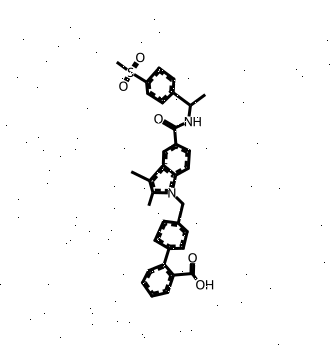 Cc1c(C)n(Cc2ccc(-c3ccccc3C(=O)O)cc2)c2ccc(C(=O)NC(C)c3ccc(S(C)(=O)=O)cc3)cc12